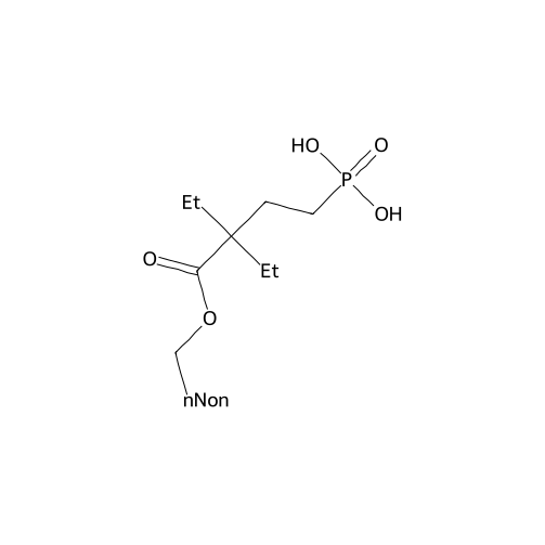 CCCCCCCCCCOC(=O)C(CC)(CC)CCP(=O)(O)O